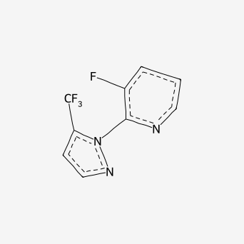 Fc1cccnc1-n1nccc1C(F)(F)F